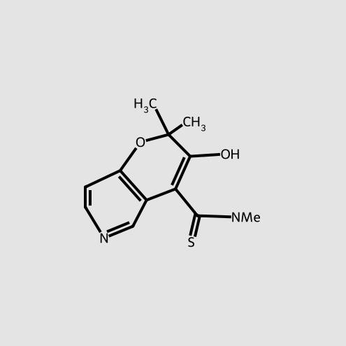 CNC(=S)C1=C(O)C(C)(C)Oc2ccncc21